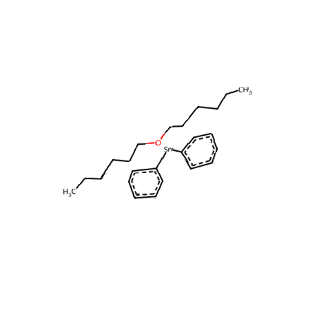 CCCCCCOCCCCCC.c1cc[c]([Sn][c]2ccccc2)cc1